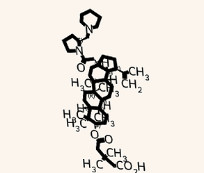 C=C(C)[C@@H]1CC[C@]2(CC(=O)N3CCC[C@H]3CN3CCCCC3)CC[C@]3(C)[C@H](CC[C@@H]4[C@@]5(C)CC[C@H](OC(=O)CC(C)(C)CC(=O)O)C(C)(C)[C@@H]5CC[C@]43C)[C@@H]12